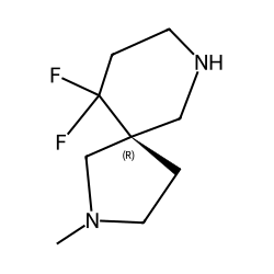 CN1CC[C@@]2(CNCCC2(F)F)C1